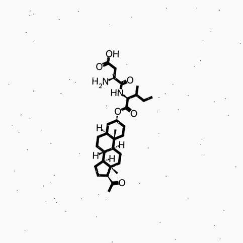 CCC(C)[C@H](NC(=O)[C@@H](N)CC(=O)O)C(=O)O[C@@H]1CC[C@@]2(C)[C@@H](CC[C@@H]3[C@@H]2CC[C@]2(C)[C@@H](C(C)=O)CC[C@@H]32)C1